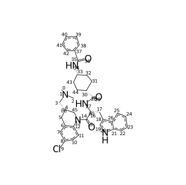 CN(C)C[C@H]1Cc2cc(Cl)ccc2N(C(=O)[C@@H](Cc2c[nH]c3ccccc23)NC(=O)[C@H]2CC[C@@H](NC(=O)c3ccccc3)CC2)C1